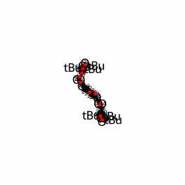 CC(C)(C)OC(=O)Oc1c(C(C)(C)C)cc(CCC(=O)OCCOc2ccc(C(C)(C)c3ccc(OCCOC(=O)CCc4cc(C(C)(C)C)c(OC(=O)OC(C)(C)C)c(C(C)(C)C)c4)cc3)cc2)cc1C(C)(C)C